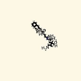 CC(CN)C(C)(CO)CN(N)/C=C(\N)CCNC(=O)NCC(Cc1ccccc1)N(C)C